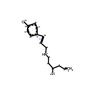 C=CCC(CC)CCNC/C=C/c1ccc(Cl)cc1